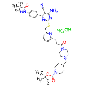 Cl.Cl.[2H]C([2H])([2H])C(=O)Nc1ccc(-c2nc(SCc3cccc(CCC(=O)N4CCN(CC5CCN(C(=O)OC(C)(C)C)CC5)CC4)n3)nc(N)c2C#N)cc1